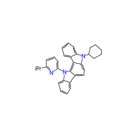 CC(C)c1cccc(-n2c3ccccc3c3ccc4c(c5ccccc5n4C4CCCCC4)c32)n1